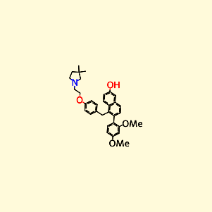 COc1ccc(-c2ccc3cc(O)ccc3c2Cc2ccc(OCCN3CCC(C)(C)C3)cc2)c(OC)c1